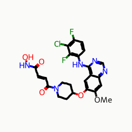 COc1cc2ncnc(Nc3ccc(F)c(Cl)c3F)c2cc1OC1CCN(C(=O)C=CC(=O)NO)CC1